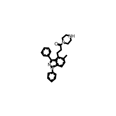 Cc1ccc2c(c(-c3ccccc3)nn2-c2ccccc2)c1CCC(=O)N1CCNCC1